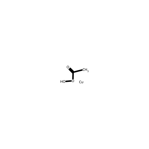 CC(=O)OO.[Cu]